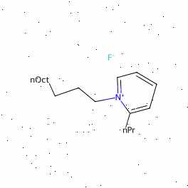 CCCCCCCCCCC[n+]1ccccc1CCC.[F-]